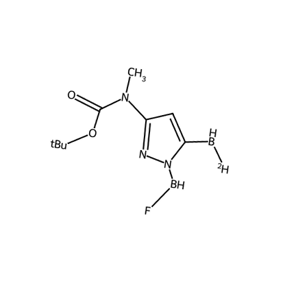 [2H]Bc1cc(N(C)C(=O)OC(C)(C)C)nn1BF